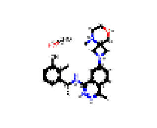 Cc1c(C#N)cccc1[C@@H](C)Nc1nnc(C)c2ccc(N3CC4(COCCN4C)C3)cc12.O=CO